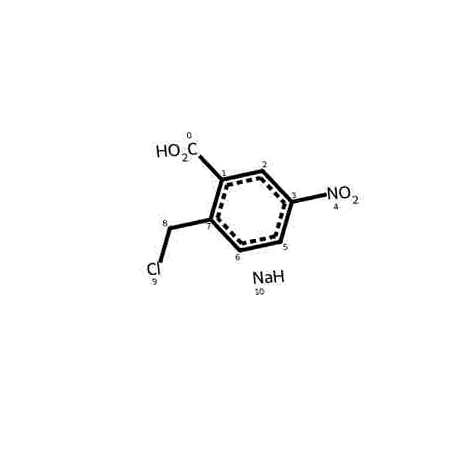 O=C(O)c1cc([N+](=O)[O-])ccc1CCl.[NaH]